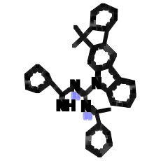 C/C(=N\C(=N/C(=N)c1ccccc1)n1c2ccccc2c2cc3c(cc21)C(C)(C)c1ccccc1-3)c1ccccc1